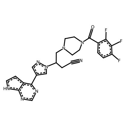 N#CCC(CN1CCN(C(=O)c2ccc(F)c(F)c2F)CC1)n1cc(-c2ncnc3[nH]ccc23)cn1